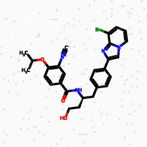 [C-]#[N+]c1cc(C(=O)N[C@H](CCO)Cc2ccc(-c3cn4cccc(Br)c4n3)cc2)ccc1OC(C)C